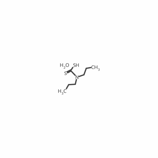 CCCN(CCC)C(=S)S.O